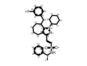 C[C@H](NS(=O)(=O)/C=C/c1nn(C2CCCCC2)c2c1CCCCC2Cc1cccc(F)c1)c1ccccc1